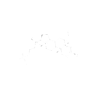 CC[C@H]1CC2C3CC[C@H]([C@H](C)CCOS(=O)(=O)O)[C@@]3(C)CCC2[C@@]2(C)CC[C@H](O)C[C@@H]12